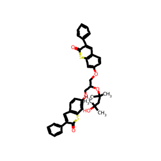 CC(C)(O)CC(C)(C)OC(COc1ccc2cc(-c3ccccc3)c(=O)sc2c1)COc1ccc2cc(-c3ccccc3)c(=O)sc2c1